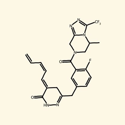 C=C/C=C\C=C1/CC(Cc2ccc(F)c(C(=O)N3Cc4nnc(C(F)(F)F)n4C(C)C3)c2)=NNC1=O